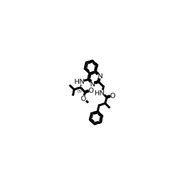 COC(=O)[C@@H](Nc1nc(CNC(=O)C(C)Cc2ccccc2)nc2ccccc12)C(C)C